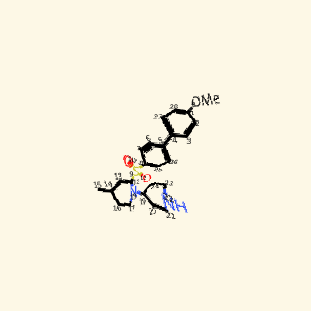 COc1ccc(-c2ccc(S(=O)(=O)C3CC(C)CCN3C3CCNCC3)cc2)cc1